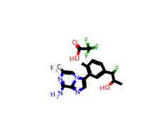 Cc1ccc(C(F)C(C)O)cc1-c1cnc2c(N)nc(C(F)(F)F)cn12.O=C(O)C(F)(F)F